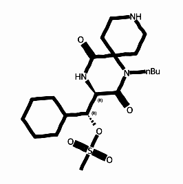 CCCCN1C(=O)[C@@H]([C@H](OS(C)(=O)=O)C2CCCCC2)NC(=O)C12CCNCC2